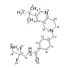 CC(C)(C)c1cnc2c(c1)CN(Cc1ccc(C(=O)NCC(F)(F)CN)cc1)CC2